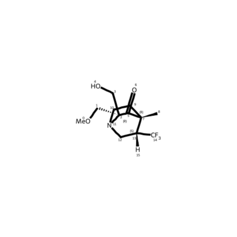 COC[C@]1(CO)C(=O)[C@]2(C)CCN1C[C@H]2C(F)(F)F